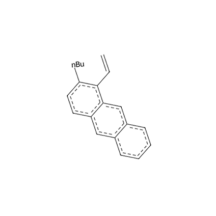 C=Cc1c(CCCC)ccc2cc3ccccc3cc12